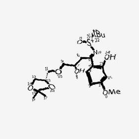 COc1ccc(/C(C[C@@H](O)COC[C@H]2COC(C)(C)O2)=N/[S@@+]([O-])C(C)(C)C)c(O)c1